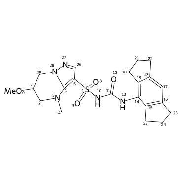 COC1CN(C)c2c(S(=O)(=O)NC(=O)Nc3c4c(cc5c3CCC5)CCC4)cnn2C1